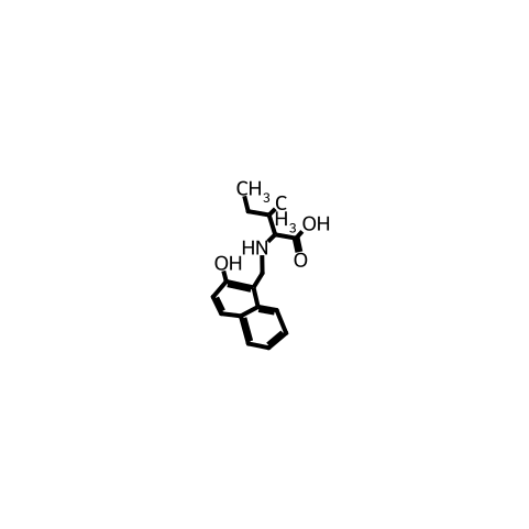 CCC(C)C(NCc1c(O)ccc2ccccc12)C(=O)O